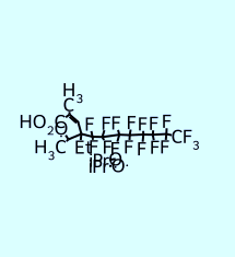 CCC(C=C(C)C(=O)O)(C(C)[O])C(F)(F)C(F)(F)C(F)(F)C(F)(F)C(F)(F)C(F)(F)C(F)(F)C(F)(F)F.[CH2]C(C)[O].[CH2]C(C)[O]